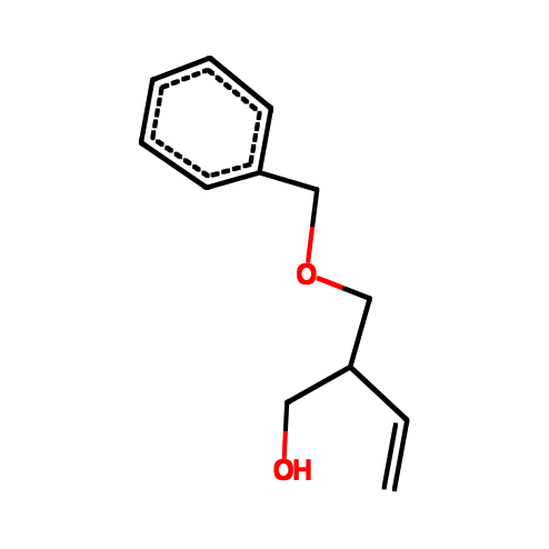 C=CC(CO)COCc1ccccc1